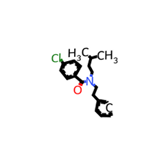 CC(C)CCN(CCc1ccccc1)C(=O)c1ccc(Cl)cc1